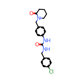 O=C(NCc1ccc(Cl)cc1)Nc1ccc(CN2CCCCC2=O)cc1